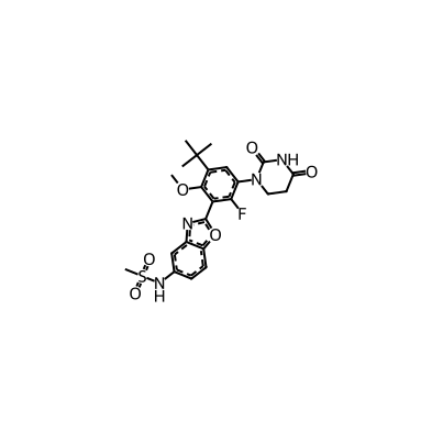 COc1c(C(C)(C)C)cc(N2CCC(=O)NC2=O)c(F)c1-c1nc2cc(NS(C)(=O)=O)ccc2o1